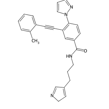 Cc1ccccc1C#Cc1cc(C(=O)NCCCC2=CCN=C2)ccc1-n1cccn1